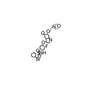 COc1cc2c(Oc3ccc(NS(=O)(=O)c4ccccc4Br)cc3F)ccnc2cc1OCCN1CCOCC1